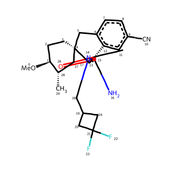 CO[C@H]1CC[C@@]2(Cc3ccc(C#N)cc3[C@]23N=C(N)N(CC2CC(F)(F)C2)C3=O)C[C@@H]1C